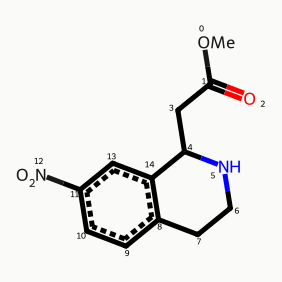 COC(=O)CC1NCCc2ccc([N+](=O)[O-])cc21